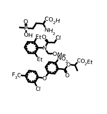 CCOC(=O)C(C)OC(=O)c1cc(Oc2ccc(C(F)(F)F)cc2Cl)ccc1[N+](=O)[O-].CCc1cccc(CC)c1N(COC)C(=O)CCl.CP(=O)(O)CCC(N)C(=O)O